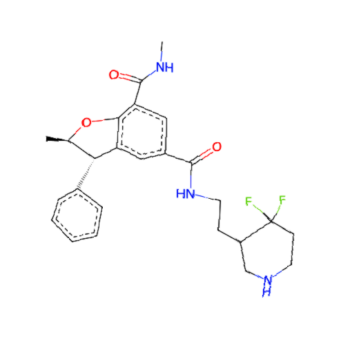 CNC(=O)c1cc(C(=O)NCCC2CNCCC2(F)F)cc2c1O[C@H](C)[C@H]2c1ccccc1